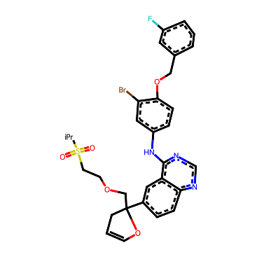 CC(C)S(=O)(=O)CCOCC1(c2ccc3ncnc(Nc4ccc(OCc5cccc(F)c5)c(Br)c4)c3c2)CC=CO1